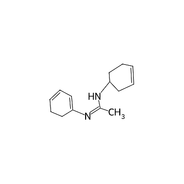 C/C(=N/C1=CC=CCC1)NC1CC=CCC1